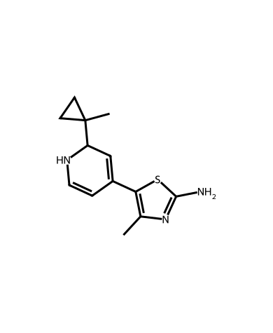 Cc1nc(N)sc1C1=CC(C2(C)CC2)NC=C1